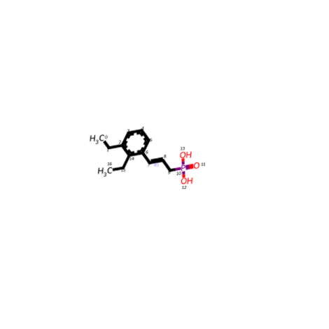 CCc1cccc(/C=C/CP(=O)(O)O)c1CC